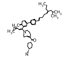 C=C1CC=C(c2ccc(/C=C/CC/C=C(\CCC)CC(C)C)cc2)C=C1/C(=C\C=N/C)N1CC/C=C(\C(=O)[C@H]2CC[C@H](C#N)CC2)CCC1